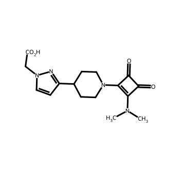 CN(C)c1c(N2CCC(c3ccn(CC(=O)O)n3)CC2)c(=O)c1=O